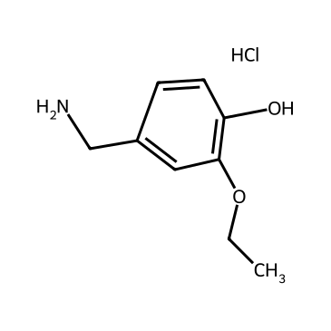 CCOc1cc(CN)ccc1O.Cl